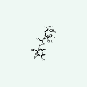 CC(C=O)=CC1C(C(=O)OCc2c(F)c(F)c(C)c(F)c2F)C1(C)C